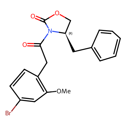 COc1cc(Br)ccc1CC(=O)N1C(=O)OC[C@H]1Cc1ccccc1